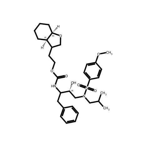 COc1ccc(S(=O)(=O)N(CC(C)C)C[C@@H](O)C(Cc2ccccc2)NC(=O)OCCC2CO[C@@H]3CCCC[C@H]23)cc1